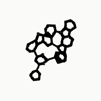 c1ccc(-c2cc(-c3cccc4oc5ccc(-n6c7ccccc7c7ccc8c9ccccc9n(-c9ccccc9)c8c76)cc5c34)nc(-c3ccccc3)n2)cc1